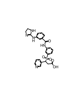 O=C(O)CC(c1cccnc1)S(=O)(=O)c1cccc(NC(=O)c2cccc(NC3=NCCN3)c2)c1